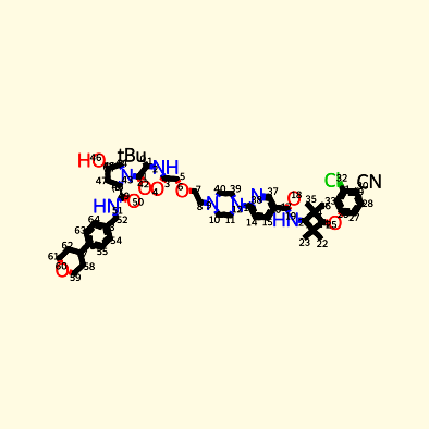 CC(C)(C)C(NC(=O)COCCN1CCN(c2ccc(C(=O)NC3C(C)(C)C(Oc4ccc(C#N)c(Cl)c4)C3(C)C)cn2)CC1)C(=O)N1C[C@H](O)C[C@H]1C(=O)NCc1ccc(C2CCOCC2)cc1